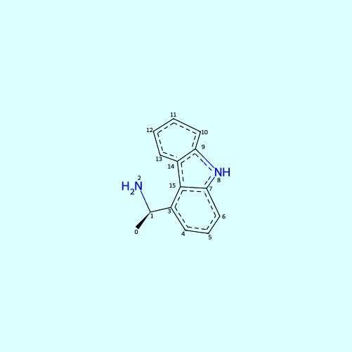 C[C@@H](N)c1cccc2[nH]c3ccccc3c12